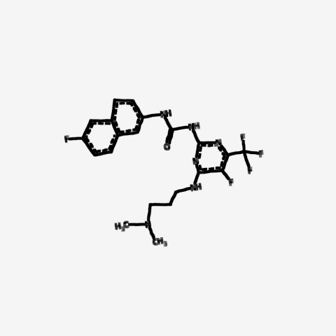 CN(C)CCCNc1nc(NC(=O)Nc2ccc3cc(F)ccc3c2)nc(C(F)(F)F)c1F